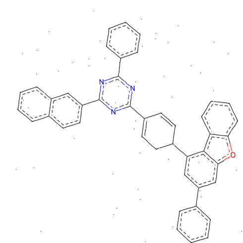 C1=CC(c2cc(-c3ccccc3)cc3oc4ccccc4c23)CC=C1c1nc(-c2ccccc2)nc(-c2ccc3ccccc3c2)n1